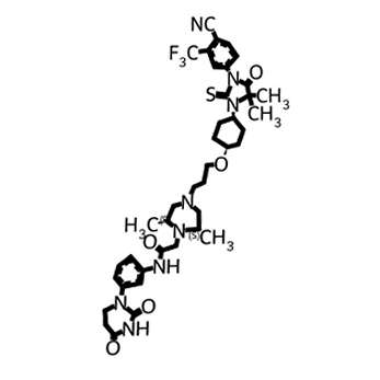 C[C@@H]1CN(CCCO[C@H]2CC[C@H](N3C(=S)N(c4ccc(C#N)c(C(F)(F)F)c4)C(=O)C3(C)C)CC2)C[C@H](C)N1CC(=O)Nc1cccc(N2CCC(=O)NC2=O)c1